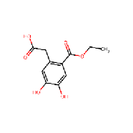 CCOC(=O)c1cc(O)c(O)cc1CC(=O)O